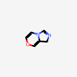 [CH]1N=CN2C=COC=C12